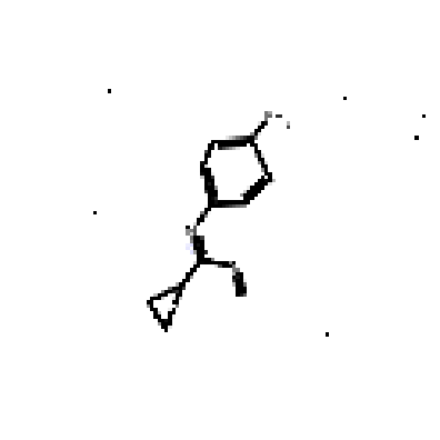 C=N/C(=N\c1ccc(P)cc1)C1CC1